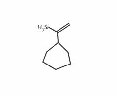 C=C([SiH3])C1CCCCC1